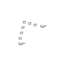 [Cl-].[Cl-].[Cl-].[Cl-].[Cl-].[Cl-].[Ga+3].[Ga+3]